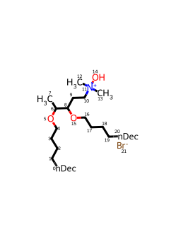 CCCCCCCCCCCCCCOC(C)C(CC[N+](C)(C)O)OCCCCCCCCCCCCCC.[Br-]